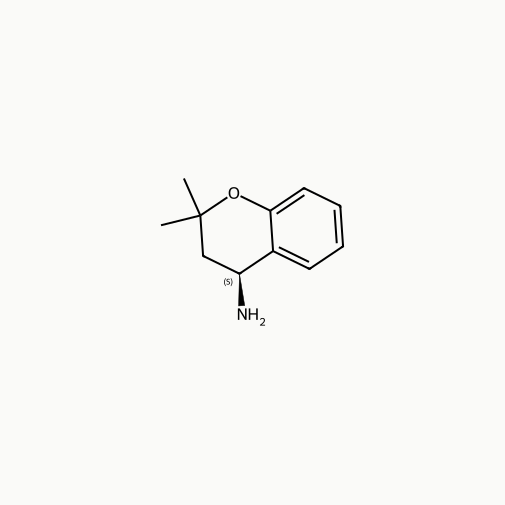 CC1(C)C[C@H](N)c2ccccc2O1